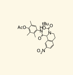 CC(=O)Oc1c(C)cc(NC(=O)C2c3cc([N+](=O)[O-])ccc3CCN2C(=O)OC(C)(C)C)c(C)c1C